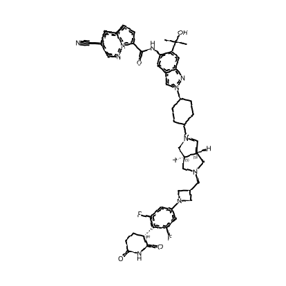 CC(C)(O)c1cc2nn(C3CCC(N4C[C@@H]5CN(CC6CN(c7cc(F)c([C@H]8CCC(=O)NC8=O)c(F)c7)C6)C[C@H]5C4)CC3)cc2cc1NC(=O)c1ccc2cc(C#N)cnn12